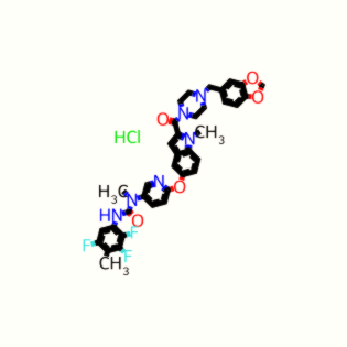 Cc1c(F)cc(NC(=O)N(C)c2ccc(Oc3ccc4c(c3)cc(C(=O)N3CCN(Cc5ccc6c(c5)OCO6)CC3)n4C)nc2)c(F)c1F.Cl